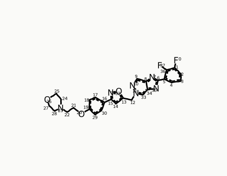 Fc1cccc(-c2nc3cnn(Cc4cc(-c5ccc(OCCN6CCOCC6)cc5)no4)cc-3n2)c1F